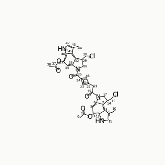 CC(=O)Oc1cc2c(c3c(C)c[nH]c13)C(CCl)CN2C(=O)CC12CC(C(=O)N3CC(CCl)c4c3cc(OC(C)=O)c3[nH]cc(C)c43)(C1)C2